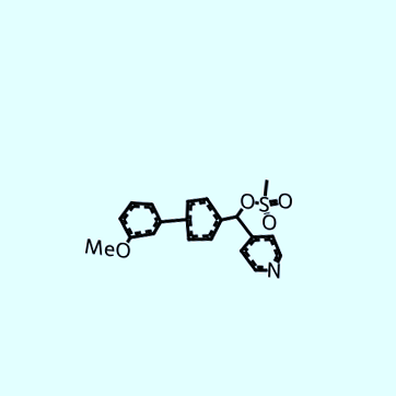 COc1cccc(-c2ccc(C(OS(C)(=O)=O)c3ccncc3)cc2)c1